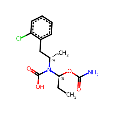 CC[C@H](OC(N)=O)N(C(=O)O)[C@@H](C)Cc1ccccc1Cl